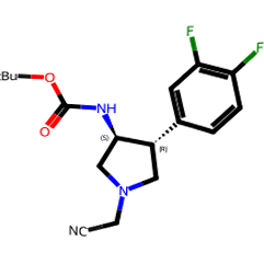 CC(C)(C)OC(=O)N[C@@H]1CN(CC#N)C[C@H]1c1ccc(F)c(F)c1